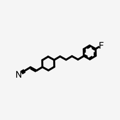 N#CC=CC1CCC(CCCCc2ccc(F)cc2)CC1